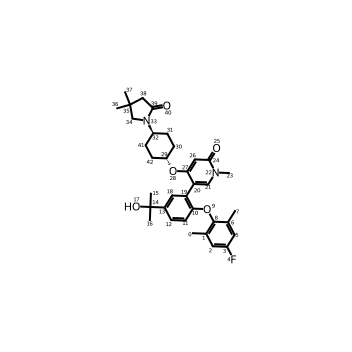 Cc1cc(F)cc(C)c1Oc1ccc(C(C)(C)O)cc1-c1cn(C)c(=O)cc1O[C@H]1CC[C@H](N2CC(C)(C)CC2=O)CC1